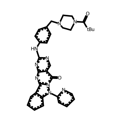 CC(C)(C)C(=O)N1CCN(Cc2ccc(Nc3ncc4c(=O)n5c(nc4n3)c3ccccc3n5-c3ccccn3)cc2)CC1